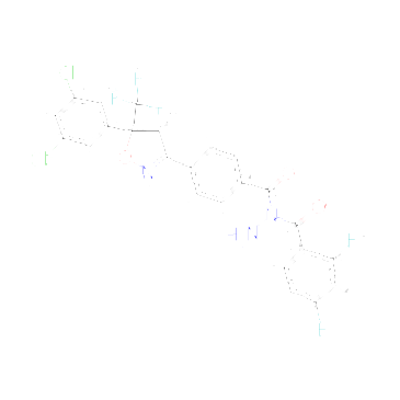 NN(C(=O)c1ccc(C2=NOC(c3cc(Cl)cc(Cl)c3)(C(F)(F)F)C2)cc1)C(=O)c1ccc(F)cc1F